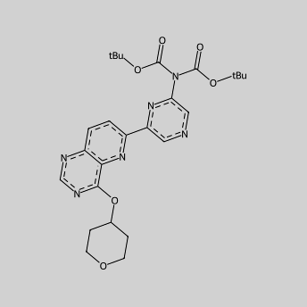 CC(C)(C)OC(=O)N(C(=O)OC(C)(C)C)c1cncc(-c2ccc3ncnc(OC4CCOCC4)c3n2)n1